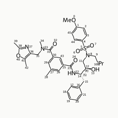 COc1ccc(S(=O)(=O)N(CC(C)C)C[C@@H](O)[C@H](Cc2ccccc2)NC(=O)c2cc(C)cc(C(=O)N(C)Cc3nc(C)oc3C)c2)cc1